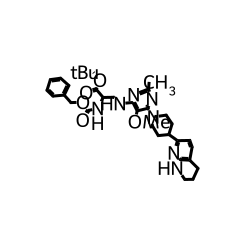 COc1c(NCC(NC(=O)OCc2ccccc2)C(=O)OC(C)(C)C)nc(C)nc1N1CCC(c2ccc3c(n2)NCCC3)CC1